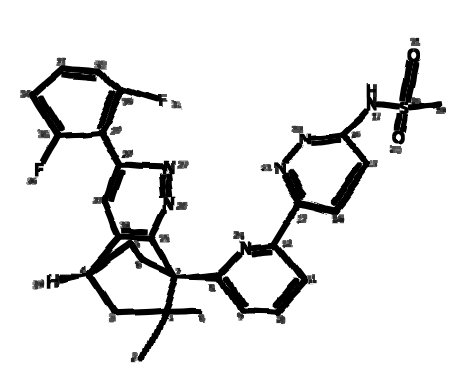 CC1(C)C[C@H]2CC[C@]1(c1cccc(-c3ccc(NS(C)(=O)=O)nn3)n1)c1nnc(-c3c(F)cccc3F)cc12